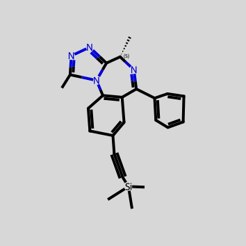 Cc1nnc2n1-c1ccc(C#C[Si](C)(C)C)cc1C(c1ccccc1)=N[C@H]2C